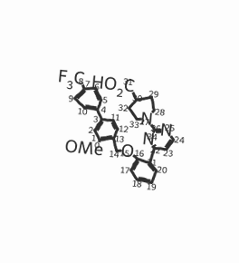 COc1cc(-c2ccc(C(F)(F)F)cc2)ccc1COc1ccccc1-c1ccnc(N2CCC(C(=O)O)CC2)n1